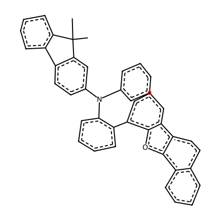 CC1(C)c2ccccc2-c2ccc(N(c3ccccc3)c3ccccc3-c3cccc4c3oc3c5ccccc5ccc43)cc21